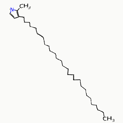 CCCCCCCCCCCCCCCCCCCCCCCCCCCCC1=C(C)[N]C=C1